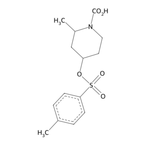 Cc1ccc(S(=O)(=O)OC2CCN(C(=O)O)C(C)C2)cc1